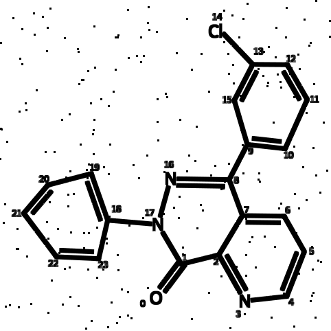 O=c1c2ncccc2c(-c2cccc(Cl)c2)nn1-c1ccccc1